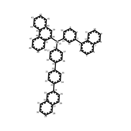 c1cc(-c2cccc3ccccc23)cc(N(c2ccc(-c3ccc(-c4ccc5ccccc5c4)cc3)cc2)c2cc3ccccc3c3ccccc23)c1